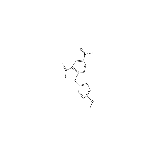 COc1ccc(Cc2ccc([N+](=O)[O-])cc2C(=S)Br)cc1